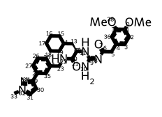 COc1ccc(CC(=O)N=C(N)N[C@H](CC2CCCCC2)C(=O)NCc2cccc(-c3ccn(C)n3)c2)cc1OC